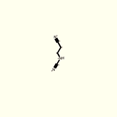 N#CCCNC#N